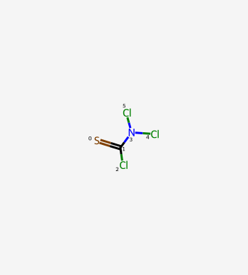 S=C(Cl)N(Cl)Cl